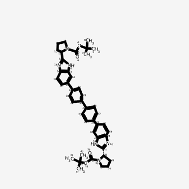 CC(C)(C)OC(=O)N1CCCC1c1nc2ccc(-c3ccc(-c4ccc(-c5ccc6nc([C@@H]7CCCN7C(=O)OC(C)(C)C)[nH]c6c5)cc4)cc3)cc2[nH]1